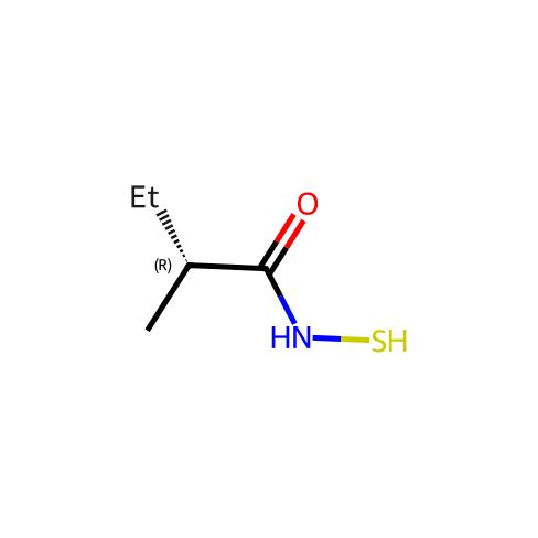 CC[C@@H](C)C(=O)NS